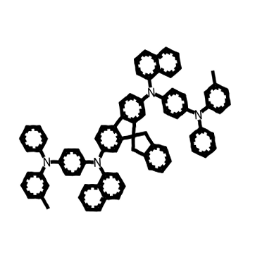 Cc1cccc(N(c2ccccc2)c2ccc(N(c3ccc4c(c3)C3(Cc5ccccc5C3)c3cc(N(c5ccc(N(c6ccccc6)c6cccc(C)c6)cc5)c5cccc6ccccc56)ccc3-4)c3cccc4ccccc34)cc2)c1